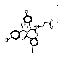 C[C@H](c1ccc(Cl)cc1)N1C(=O)c2cc(I)ccc2N=C(NCCC(N)=O)[C@@H]1c1ccc(Cl)cc1